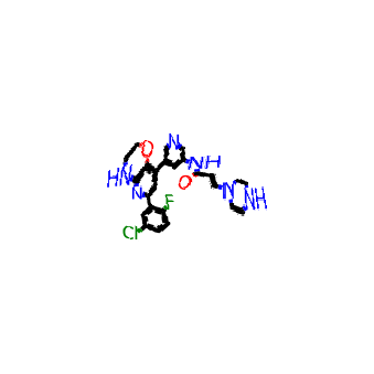 O=C(CCN1CCNCC1)Nc1cncc(-c2cc(-c3cc(Cl)ccc3F)nc3c2OCCN3)c1